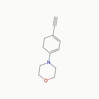 C#CC1=CC=C(N2CCOCC2)CC1